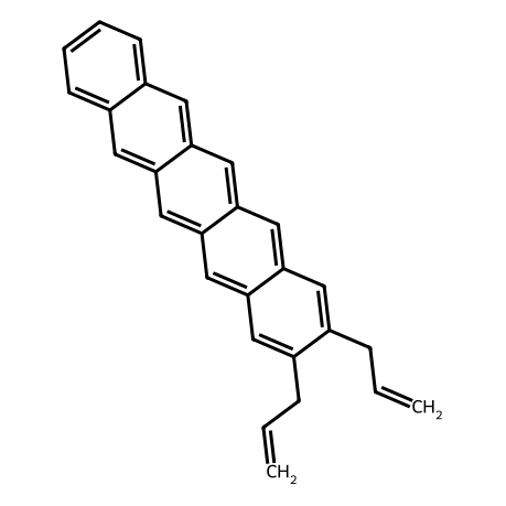 C=CCc1cc2cc3cc4cc5ccccc5cc4cc3cc2cc1CC=C